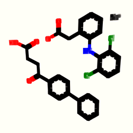 O=C(O)CCC(=O)c1ccc(-c2ccccc2)cc1.O=C([O-])Cc1ccccc1Nc1c(Cl)cccc1Cl.[Na+]